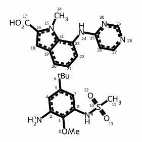 COc1c(N)cc(C(C)(C)C)cc1NS(C)(=O)=O.Cn1c(C(=O)O)cc2cccc(Nc3ccncn3)c21